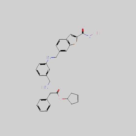 O=C(NO)c1cc2ccc(CNc3cccc(CN[C@H](C(=O)OC4CCCC4)c4ccccc4)c3)cc2s1